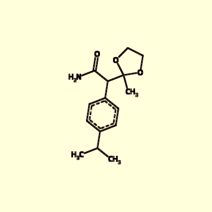 CC(C)c1ccc(C(C(N)=O)C2(C)OCCO2)cc1